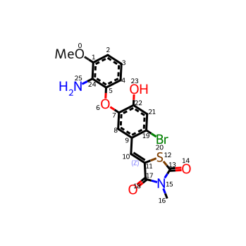 COc1cccc(Oc2cc(/C=C3\SC(=O)N(C)C3=O)c(Br)cc2O)c1N